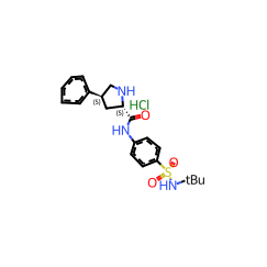 CC(C)(C)NS(=O)(=O)c1ccc(NC(=O)[C@@H]2C[C@@H](c3ccccc3)CN2)cc1.Cl